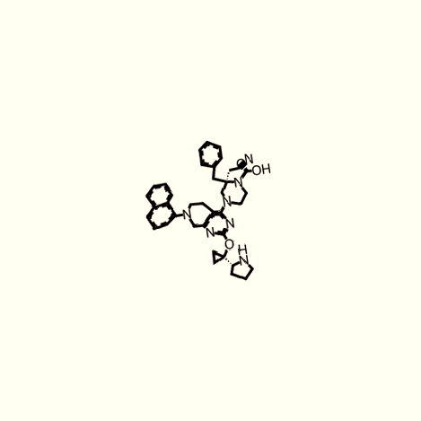 N#CC[C@@]1(Cc2ccccc2)CN(c2nc(OC3([C@H]4CCCN4)CC3)nc3c2CCN(c2cccc4ccccc24)C3)CCN1C(=O)O